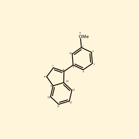 COc1cccc(C2=C[CH]c3ccccc32)c1